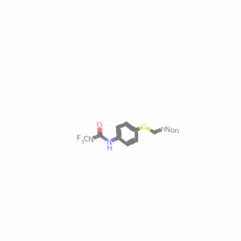 CCCCCCCCCCSc1ccc(NC(=O)NC(F)(F)F)cc1